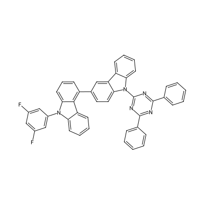 Fc1cc(F)cc(-n2c3ccccc3c3c(-c4ccc5c(c4)c4ccccc4n5-c4nc(-c5ccccc5)nc(-c5ccccc5)n4)cccc32)c1